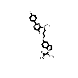 CC(C(=O)O)n1ccc2cc(OCCCN(C)c3nc(-c4ccc(F)cc4)ncc3F)ccc21